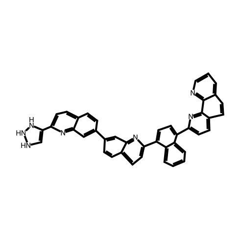 C1=C(c2ccc3ccc(-c4ccc5ccc(-c6ccc(-c7ccc8ccc9cccnc9c8n7)c7ccccc67)nc5c4)cc3n2)NNN1